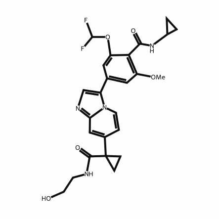 COc1cc(-c2cnc3cc(C4(C(=O)NCCO)CC4)ccn23)cc(OC(F)F)c1C(=O)NC1CC1